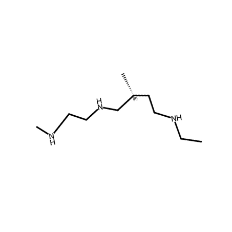 CCNCC[C@@H](C)CNCCNC